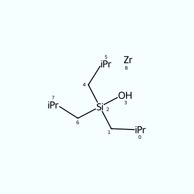 CC(C)C[Si](O)(CC(C)C)CC(C)C.[Zr]